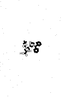 CC(C)(C)OC(=O)N1CCNC(C(=O)O)C1.c1ccc(C(c2ccccc2)N2CCNCC2)cc1